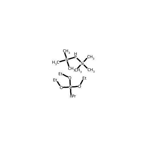 CCC[Si](OCC)(OCC)OCC.C[Si](C)(C)P[Si](C)(C)C